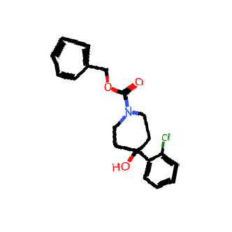 O=C(OCc1ccccc1)N1CCC(O)(c2ccccc2Cl)CC1